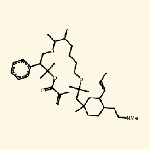 C=C(C)C(=O)OC(C)(C)C(COC(C)C(C)CCCCOC(C)(C)CC1(C)CCC(CCNC)C(C=CC)C1)c1ccccc1